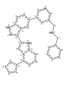 c1ccc(CNCc2cncc(-c3ccc4[nH]nc(-c5cc6c(-c7ccsc7)cccc6[nH]5)c4c3)c2)cc1